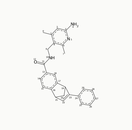 Cc1cc(N)nc(C)c1CNC(=O)c1ccc2c(c1)C1CC2C=C1c1ccccc1